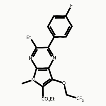 CCOC(=O)c1c(OCC(F)(F)F)c2nc(-c3ccc(F)cc3)c(CC)nc2n1C